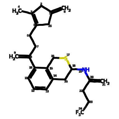 C=C1CC(C)=C(CCC(=C)c2cccc3c2CSC(NC(=C)CCC(F)(F)F)C3)C1